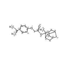 C=C(C)c1ccc(OCC(=O)OC2(C)C3CC4CC(C3)CC2C4)cc1